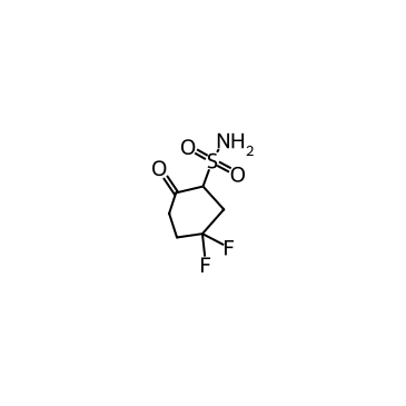 NS(=O)(=O)C1CC(F)(F)CCC1=O